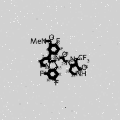 CNC(=O)c1cc(-c2cccnc2[C@H](Cc2cc(F)cc(F)c2)NC(=O)Cn2nc(C(F)(F)F)c3c2CCNC3=O)ccc1F